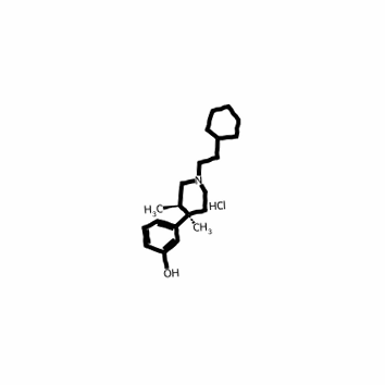 C[C@H]1CN(CCC2CCCCC2)CC[C@@]1(C)c1cccc(O)c1.Cl